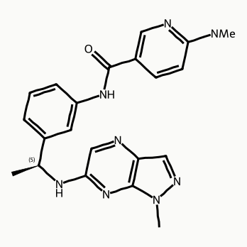 CNc1ccc(C(=O)Nc2cccc([C@H](C)Nc3cnc4cnn(C)c4n3)c2)cn1